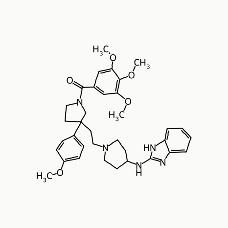 COc1ccc(C2(CCN3CCC(Nc4nc5ccccc5[nH]4)CC3)CCN(C(=O)c3cc(OC)c(OC)c(OC)c3)C2)cc1